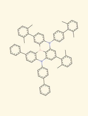 Cc1cccc(C)c1-c1ccc(N2c3ccc(-c4c(C)cccc4C)cc3B3c4cc(-c5ccccc5)ccc4N(c4ccc(-c5ccccc5)cc4)c4cc(-c5c(C)cccc5C)cc2c43)cc1